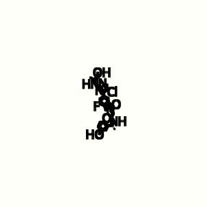 C[C@@H](CO)Nc1ncc(Cl)c(-c2cc(F)c3c(c2)C(=O)N(CC(=O)N[C@H](C)c2cccc(O)c2)C3)n1